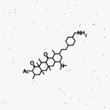 CC(=O)C1C(=O)C2(C)C(C)C3C(=O)C4C(C)C(CCC5CCC(CN)CC5)CC(N(C)C)C4CC3(C)CC2(C)CC1C